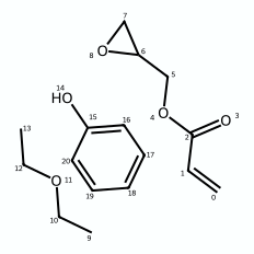 C=CC(=O)OCC1CO1.CCOCC.Oc1ccccc1